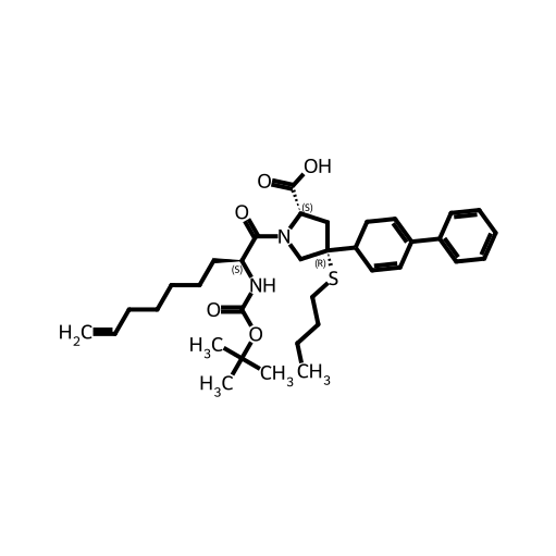 C=CCCCCC[C@H](NC(=O)OC(C)(C)C)C(=O)N1C[C@](SCCCC)(C2C=CC(c3ccccc3)=CC2)C[C@H]1C(=O)O